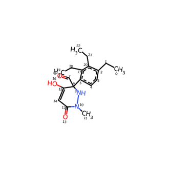 CCc1ccc(C2(C=O)NN(C)C(=O)C=C2O)c(CC)c1CC